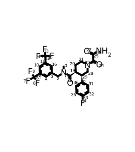 CN(Cc1cc(C(F)(F)F)cc(C(F)(F)F)c1)C(=O)[C@H]1CCN(C(=O)C(N)=O)C[C@H]1c1ccc(F)cc1